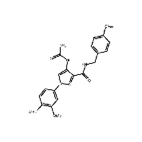 COc1ccc(CNC(=O)c2nn(-c3ccc(OC)c(OC)c3)cc2NC(N)=O)cc1